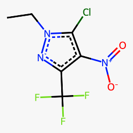 CCn1nc(C(F)(F)F)c([N+](=O)[O-])c1Cl